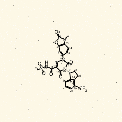 Cn1c(=O)oc2cc(-n3cc(C(=O)NS(C)(=O)=O)c(=O)n([C@@H]4CCc5c4cccc5C(F)(F)F)c3=O)ccc21